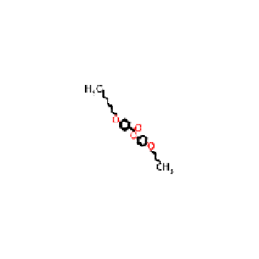 CCCCCCCCOc1ccc(C(=O)Oc2ccc(OCCCCC)cc2)cc1